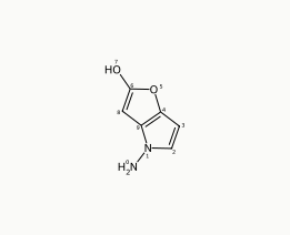 Nn1ccc2oc(O)cc21